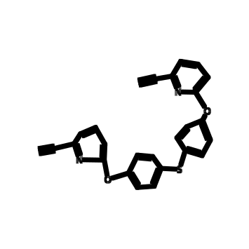 C#Cc1cccc(Oc2ccc(Sc3ccc(Oc4cccc(C#C)n4)cc3)cc2)n1